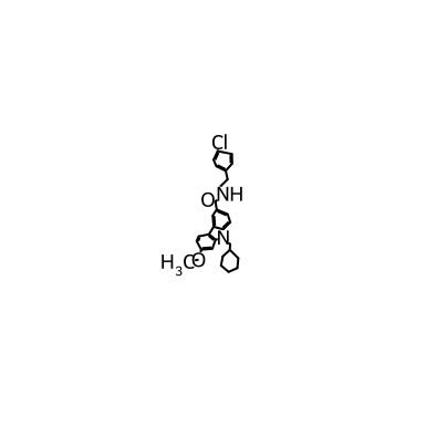 COc1ccc2c3cc(C(=O)NCCc4ccc(Cl)cc4)ccc3n(CC3CCCCC3)c2c1